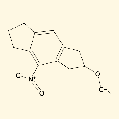 COC1Cc2cc3c(c([N+](=O)[O-])c2C1)CCC3